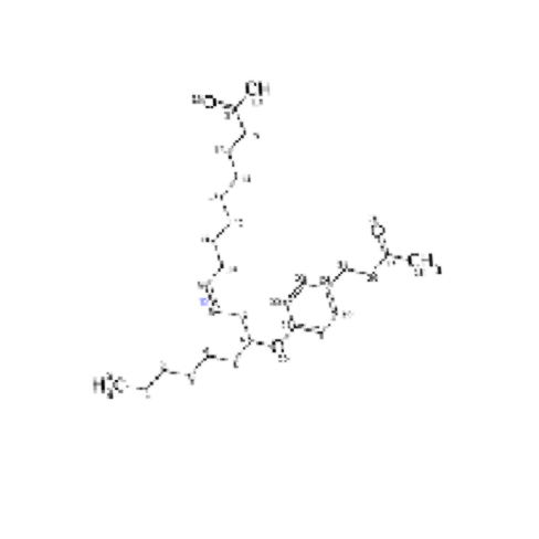 CCCCCCC(C/C=C\CCCCCCCC(=O)O)Oc1ccc(CCC(C)=O)cc1